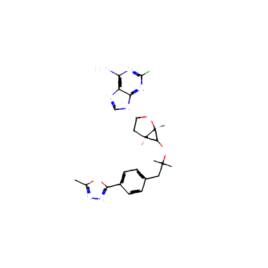 Cc1nnc(-c2ccc(CC(OC3[C@H]4O[C@@H](n5cnc6c(N)nc(Cl)nc65)[C@@H](F)[C@@]34O)(C(=O)O)C(=O)O)cc2)o1